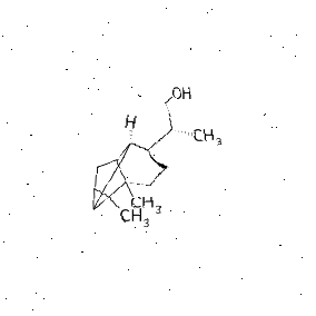 C[C@@H](CO)[C@H]1CCC2(C)C3CC4C([C@@H]31)C42C